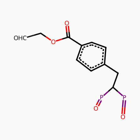 O=CCOC(=O)c1ccc(CC(P=O)P=O)cc1